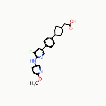 COc1ccc(Nc2ncc(-c3ccc(C4CCC(CC(=O)O)CC4)cc3)cc2F)cn1